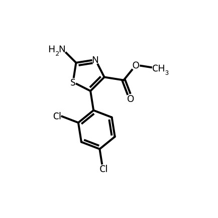 COC(=O)c1nc(N)sc1-c1ccc(Cl)cc1Cl